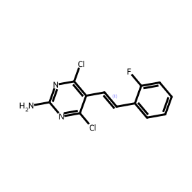 Nc1nc(Cl)c(/C=C/c2ccccc2F)c(Cl)n1